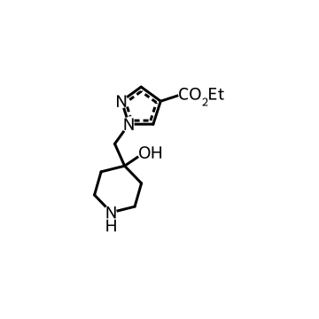 CCOC(=O)c1cnn(CC2(O)CCNCC2)c1